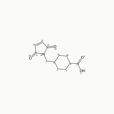 O=C(O)C1CCC(CN2C(=O)C=CC2=O)CC1